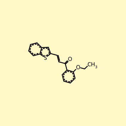 CCOc1ccccc1C(=O)C=Cc1cc2ccccc2s1